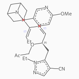 CC/C=C(\N=C/[C@@H](Cc1c(C#N)cnn1CC)OCC(C)=O)N1CC2CC(C1)N2Cc1ccc(OC)nc1